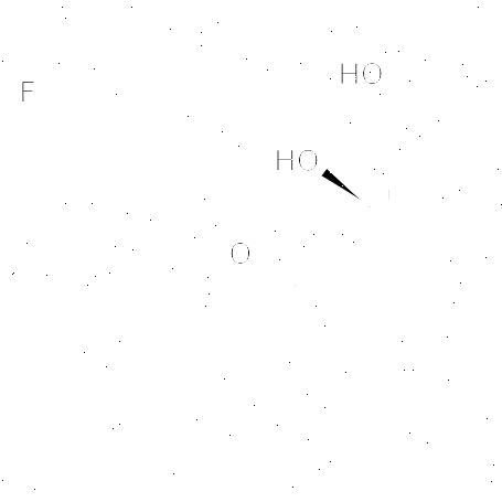 Cc1c(F)cccc1O[C@H]1c2ccccc2C[C@@]1(O)CO